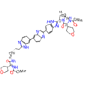 COC(=O)N[C@H](C(=O)N[C@@H]1C[C@@H]1CCc1nc2ccc(-c3ccc4nc(-c5ccc6nc([C@@H]7C[C@H]8C[C@H]8N7C(=O)[C@@H](NC(=O)OC)C7CCOCC7)[nH]c6c5)cnc4c3)cc2[nH]1)C1CCOCC1